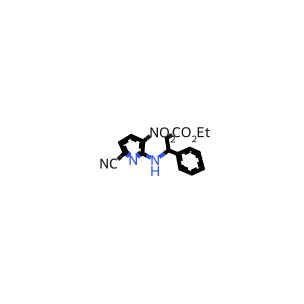 CCOC(=O)CC(Nc1nc(C#N)ccc1[N+](=O)[O-])c1ccccc1